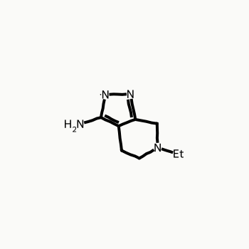 CCN1CCC2=C(N)[N]N=C2C1